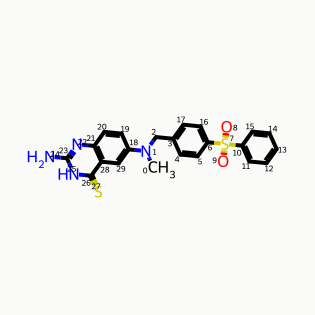 CN(Cc1ccc(S(=O)(=O)c2ccccc2)cc1)c1ccc2nc(N)[nH]c(=S)c2c1